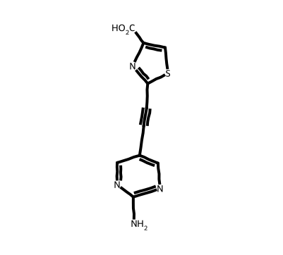 Nc1ncc(C#Cc2nc(C(=O)O)cs2)cn1